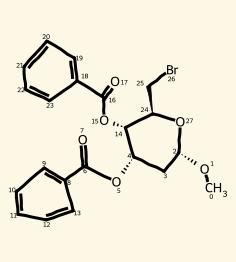 CO[C@@H]1C[C@H](OC(=O)c2ccccc2)[C@H](OC(=O)c2ccccc2)[C@@H](CBr)O1